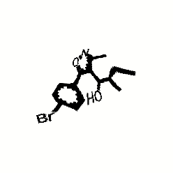 C=CC(C)C(O)c1c(C)noc1-c1ccc(Br)cc1